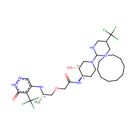 C[C@@H](COCC(=O)N[C@@H]1CCN(C2NCC(C(F)(F)F)C[N+]23CCCCCCCCC3)C[C@H]1O)Nc1cn[nH]c(=O)c1C(F)(F)F